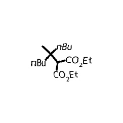 CCCCC(C)(CCCC)C(C(=O)OCC)C(=O)OCC